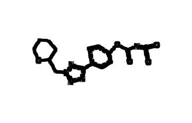 O=C(N=S(=O)=O)Oc1ccc(-c2nnn(CC3CCCCO3)n2)cc1